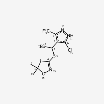 CC1(C)CC(SC(c2c(C(F)(F)F)n[nH]c2Cl)C(C)(C)C)=NO1